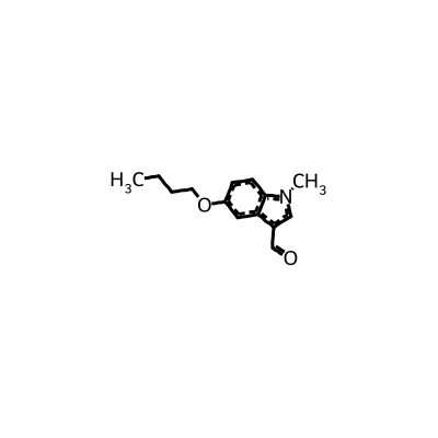 CCCCOc1ccc2c(c1)c(C=O)cn2C